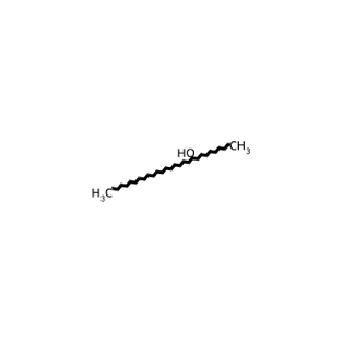 CCCCCCCCCCCCCCCCCCC[C@@H](O)CCCCCCCCC